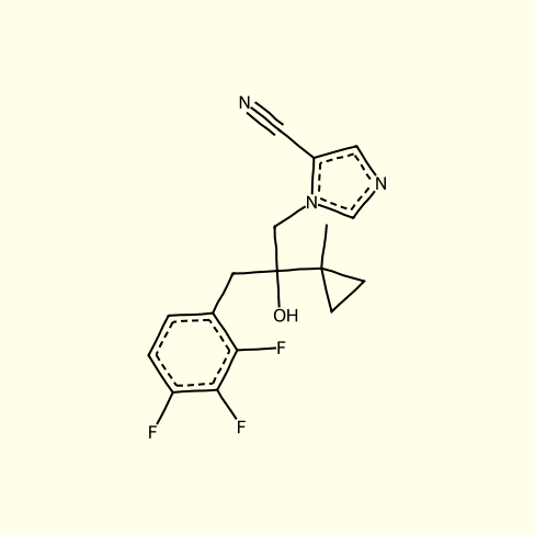 CC1(C(O)(Cc2ccc(F)c(F)c2F)Cn2cncc2C#N)CC1